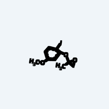 COc1ccc(I)c(OC2(C)CO2)c1